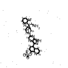 NC[C@]1(c2ccccc2F)[C@@H]2CCN(c3cnc4c(-c5ccc(OS(=O)(=O)F)c6ncccc56)n[nH]c4n3)C[C@@H]21